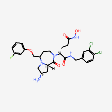 N[C@@H]1C[C@H]2C(=O)N([C@H](CCC(=O)NO)C(=O)NCc3ccc(Cl)c(Cl)c3)CCC(COc3cccc(F)c3)N2C1